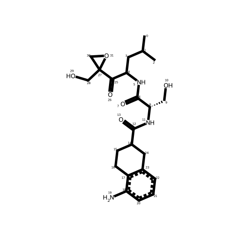 CC(C)CC(NC(=O)[C@H](CO)NC(=O)C1CCc2c(N)cccc2C1)C(=O)C1(CO)CO1